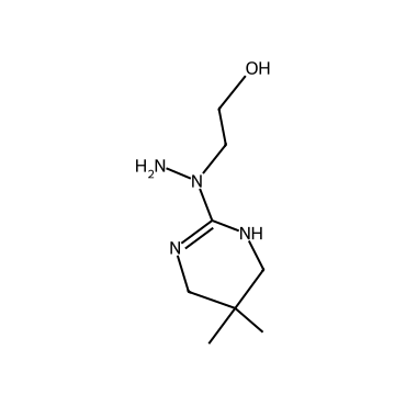 CC1(C)CN=C(N(N)CCO)NC1